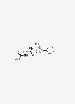 CCCCC(=S)NNC(=O)NC(C)(C)N=NC1CCCCC1